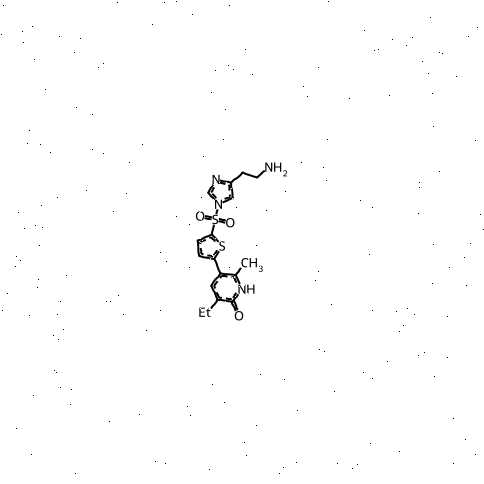 CCc1cc(-c2ccc(S(=O)(=O)n3cnc(CCN)c3)s2)c(C)[nH]c1=O